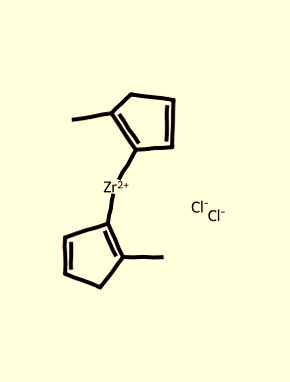 CC1=[C]([Zr+2][C]2=C(C)CC=C2)C=CC1.[Cl-].[Cl-]